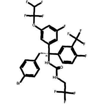 O=C(NCC(F)(F)F)N[C@@](Cc1ccc(Br)cc1)(c1cc(F)cc(OC(F)(F)C(F)F)c1)c1ccc(F)c(C(F)(F)F)c1